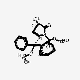 CC[C@@H]1C[C@@H](C(O[SiH2]C(C)(C)C)(c2ccccc2)c2ccccc2)N(C(=O)OC(C)(C)C)C1=O